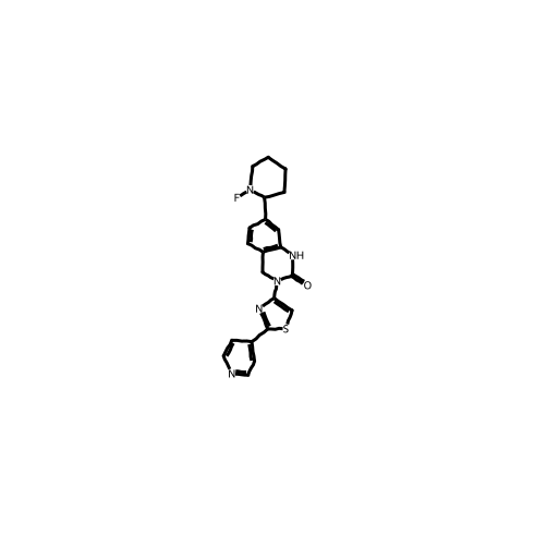 O=C1Nc2cc(C3CCCCN3F)ccc2CN1c1csc(-c2ccncc2)n1